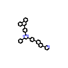 c1ccc(-c2cc(-c3ccc(-c4ccc5cc(-c6cccnc6)ccc5c4)cc3)nc(-c3ccc(-c4cc5ccccc5c5ccccc45)cc3)n2)cc1